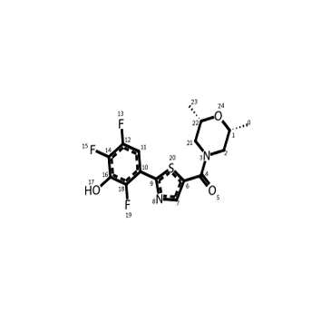 C[C@@H]1CN(C(=O)c2cnc(-c3cc(F)c(F)c(O)c3F)s2)C[C@H](C)O1